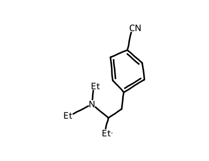 C[CH]C(Cc1ccc(C#N)cc1)N(CC)CC